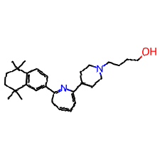 CC1(C)CCC(C)(C)c2cc(C3=NC(C4CCN(CCCCO)CC4)=CC=CC3)ccc21